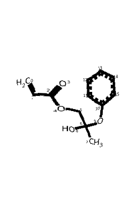 C=CC(=O)OCC(C)(O)Oc1ccccc1